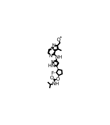 COCc1nn2ccnc(Nc3cc([C@H]4CC[C@@H](OC(=O)NC(C)C)[C@@H]4F)[nH]n3)c2c1C